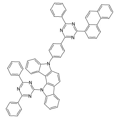 c1ccc(-c2nc(-c3ccc(-n4c5ccccc5c5c4ccc4c6ccccc6n(-c6nc(-c7ccccc7)nc(-c7ccccc7)n6)c45)cc3)nc(-c3cccc4c3ccc3ccccc34)n2)cc1